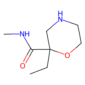 CCC1(C(=O)NC)CNCCO1